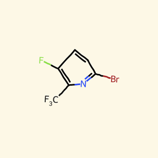 Fc1ccc(Br)nc1C(F)(F)F